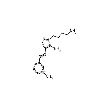 C[n+]1cccc(/N=N/c2cnn(CCCCN)c2N)c1